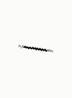 C=CC=CCCCCCCCCCCCCCCCCCCCCCCCCCC